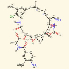 COc1cc(C(=O)N(C)[C@@H](C)C(=O)O[C@H]2CC(=O)N(C)c3cc(cc(OC)c3Cl)C/C(C)=C/C=C/[C@@H](C=N)[C@@]3(O)C[C@H](OC(=O)N3)[C@@H](C)[C@@H]3O[C@@]23C)ccc1N